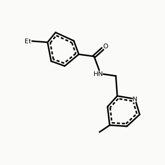 CCc1ccc(C(=O)NCc2cc(C)ccn2)cc1